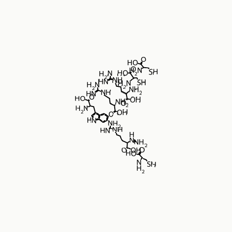 N=C(N)NCCCC(N)C(=O)O.N=C(N)NCCCC(N)C(=O)O.N=C(N)NCCCC(NN)C(=O)O.NC(CS)C(=O)O.NC(CS)C(=O)O.NC(CS)C(=O)O.NC(Cc1c[nH]c2ccccc12)C(=O)O